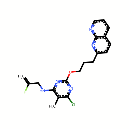 C=C(F)CNc1nc(OCCCc2ccc3cccnc3n2)nc(Cl)c1C